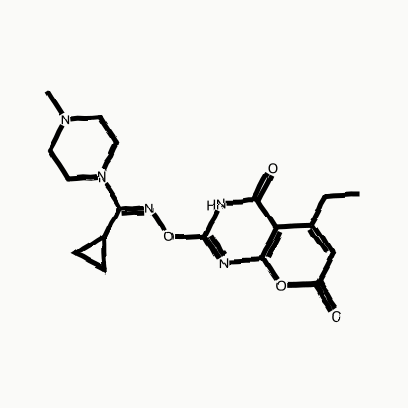 CCc1cc(=O)oc2nc(O/N=C(\C3CC3)N3CCN(C)CC3)[nH]c(=O)c12